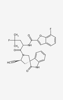 C#C[C@@H]1C[C@@]2(CN1C(=O)C(CC(C)(C)F)NC(=O)c1cc3cccc(F)c3o1)C(=O)Nc1ccccc12